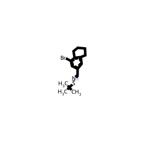 CC(C)(C)S/N=C/c1cc(Br)c2c(c1)CCCC2